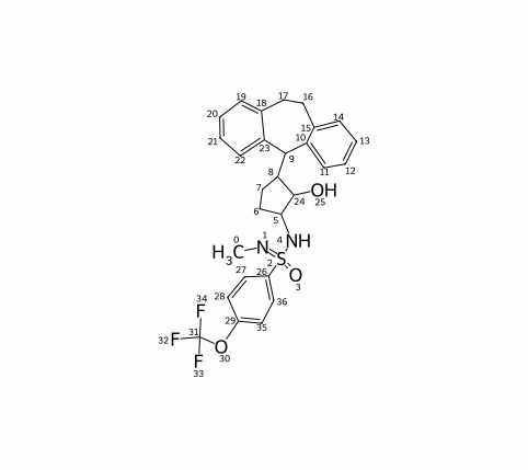 CN=S(=O)(NC1CCC(C2c3ccccc3CCc3ccccc32)C1O)c1ccc(OC(F)(F)F)cc1